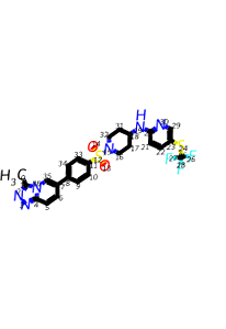 Cc1nnc2ccc(-c3ccc(S(=O)(=O)N4CCC(Nc5ccc(SC(F)(F)F)cn5)CC4)cc3)cn12